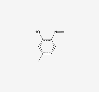 C=Nc1ccc(C)cc1O